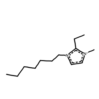 CCCCCCCn1cc[n+](C)c1CC